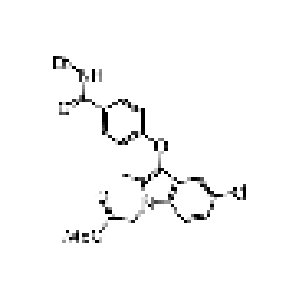 CCNC(=O)c1ccc(Oc2c(C)n(CC(=O)OC)c3ccc(Cl)cc23)cc1